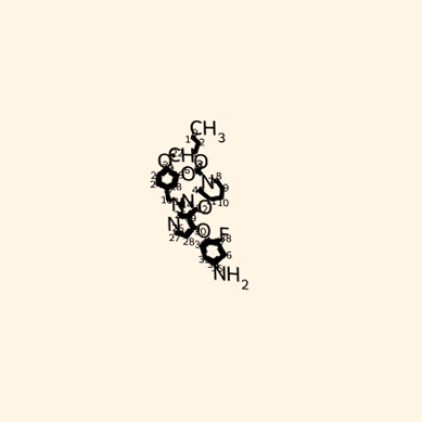 CCCCOC(=O)N1CCCC(Oc2nn(Cc3ccc(OC)cc3)c3nccc(Oc4ccc(N)cc4F)c23)C1